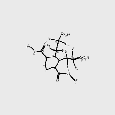 CC(C)OC(=O)C1CCC(C(=O)OC(C)C)C(C(F)(F)C(F)(F)S(=O)(=O)O)C1C(F)(F)C(F)(F)S(=O)(=O)O